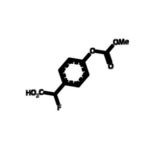 COC(=O)Oc1ccc(C(F)C(=O)O)cc1